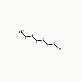 ClCCCCC[CH2][Sn]